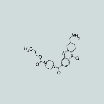 CCCOC(=O)N1CCN(C(=O)c2ccc3c(Cl)c4c(nc3c2)CC(CN)CC4)CC1